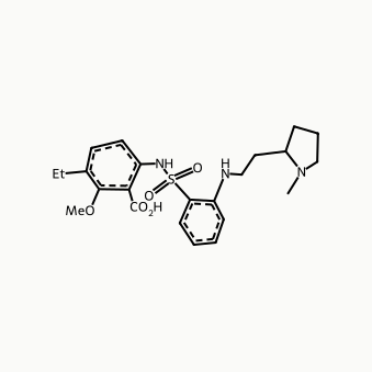 CCc1ccc(NS(=O)(=O)c2ccccc2NCCC2CCCN2C)c(C(=O)O)c1OC